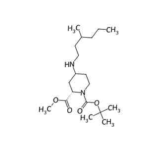 CCCC(C)CCNC1CCN(C(=O)OC(C)(C)C)[C@H](C(=O)OC)C1